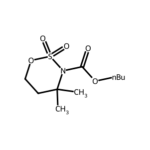 CCCCOC(=O)N1C(C)(C)CCOS1(=O)=O